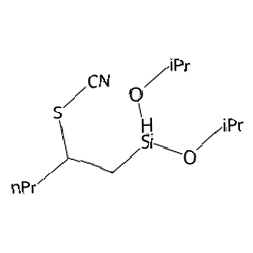 CCCC(C[SiH](OC(C)C)OC(C)C)SC#N